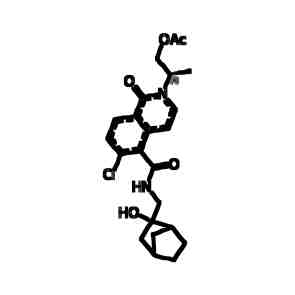 CC(=O)OC[C@@H](C)n1ccc2c(C(=O)NCC3(O)CC4CCC3C4)c(Cl)ccc2c1=O